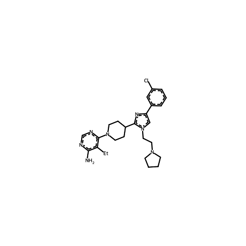 CCc1c(N)ncnc1N1CCC(c2nc(-c3cccc(Cl)c3)cn2CCN2CCCC2)CC1